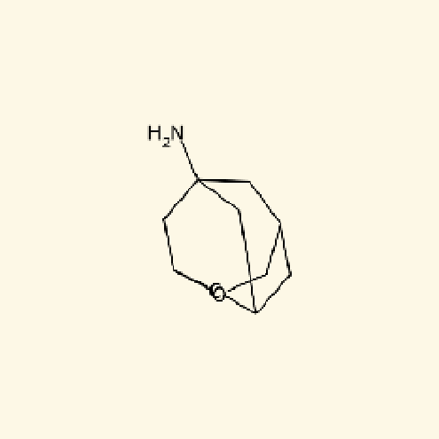 NC12CC3COC(CC(C3)C1)C2